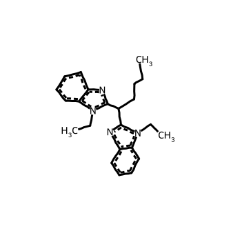 CCCCC(c1nc2ccccc2n1CC)c1nc2ccccc2n1CC